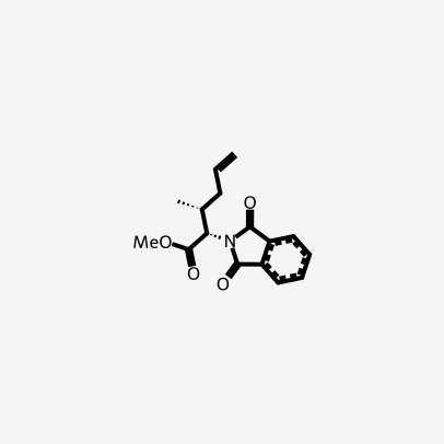 C=CC[C@@H](C)[C@@H](C(=O)OC)N1C(=O)c2ccccc2C1=O